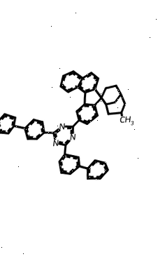 CC1CC2CCC3(c4ccc(-c5nc(-c6ccc(-c7ccccc7)cc6)nc(-c6cccc(-c7ccccc7)c6)n5)cc4-c4c3ccc3ccccc43)C(C1)C2